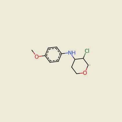 COc1ccc(NC2CCO[CH]C2Cl)cc1